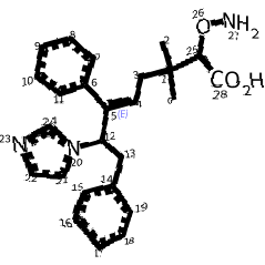 CC(C)(C/C=C(\c1ccccc1)C(Cc1ccccc1)n1ccnc1)C(ON)C(=O)O